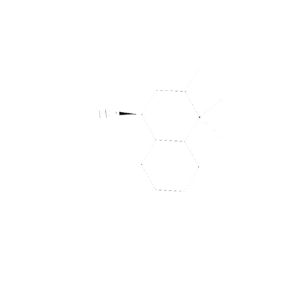 CC1C[C@H](O)C2CCCCC2C1(C)C